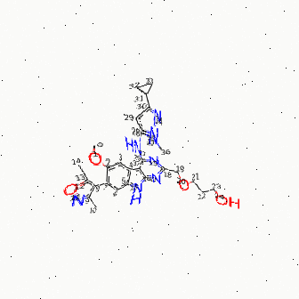 COc1cc2c(cc1-c1c(C)noc1C)[nH]c1nc(COCCCO)nc(Nc3cc(C4CC4)nn3C)c12